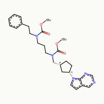 CC(C)(C)OC(=O)N(CCCN(C[C@@H]1CC[C@H](n2ccc3cncnc32)C1)C(=O)OC(C)(C)C)CCc1ccccc1